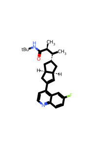 CC([C@H]1C[C@@H]2CC(c3ccnc4ccc(F)cc34)=C[C@@H]2C1)[C@H](C)C(=O)NC(C)(C)C